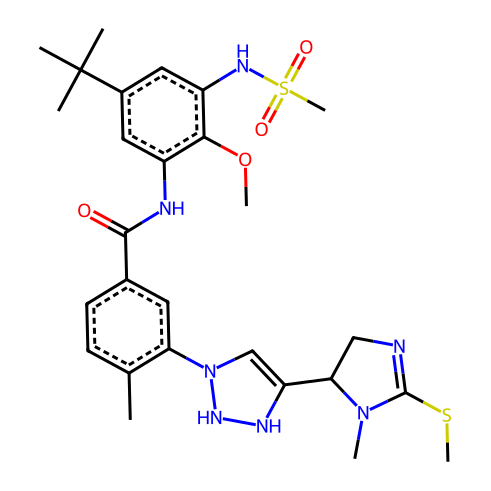 COc1c(NC(=O)c2ccc(C)c(N3C=C(C4CN=C(SC)N4C)NN3)c2)cc(C(C)(C)C)cc1NS(C)(=O)=O